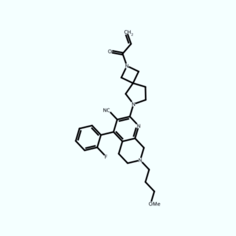 C=CC(=O)N1CC2(CCN(c3nc4c(c(-c5ccccc5F)c3C#N)CCN(CCCOC)C4)C2)C1